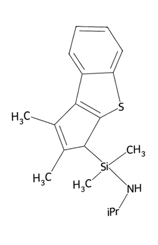 CC1=C(C)C([Si](C)(C)NC(C)C)c2sc3ccccc3c21